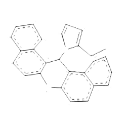 CCC1=CC=C[SH]1C1c2c(ccc3ccccc23)Oc2ccc3ccccc3c21